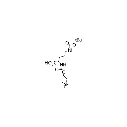 CC(C)(C)OC(=O)NCCC[C@H](NC(=O)OCC[Si](C)(C)C)C(=O)O